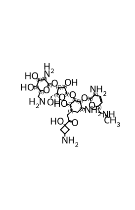 CNC[C@@H]1C=C[C@@H](N)[C@@H](O[C@H]2[C@H](O[C@@H]3O[C@H](CO)[C@@H](O[C@H]4O[C@@H](CN)[C@@H](O)[C@H](O)[C@H]4N)[C@H]3O)[C@@H](O)[C@H](CC(=O)C3(O)CC(N)C3)C[C@@H]2N)O1